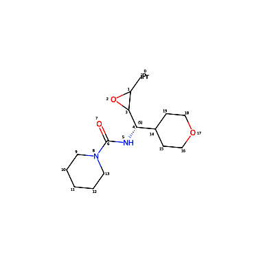 CC(C)C1OC1[C@@H](NC(=O)N1CCCCC1)C1CCOCC1